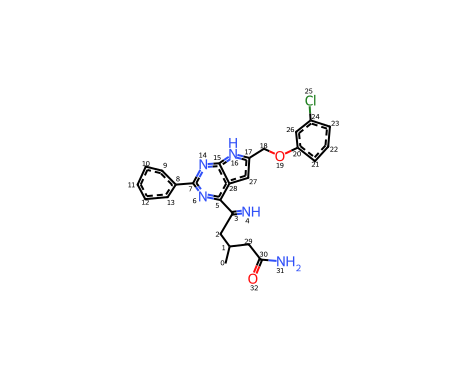 CC(CC(=N)c1nc(-c2ccccc2)nc2[nH]c(COc3cccc(Cl)c3)cc12)CC(N)=O